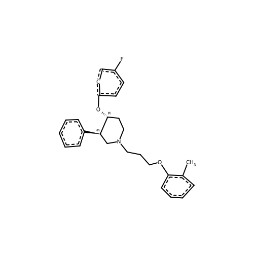 Cc1ccccc1OCCCN1CC[C@@H](Oc2ccc(F)cc2)[C@H](c2ccccc2)C1